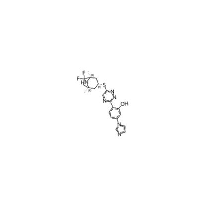 C[C@@]12C[C@@H](Sc3cnc(-c4ccc(-n5ccnc5)cc4O)nn3)C[C@@](C)(N1)C(F)(F)C2